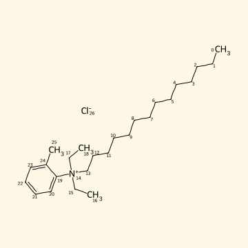 CCCCCCCCCCCCCC[N+](CC)(CC)c1ccccc1C.[Cl-]